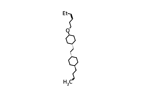 C=CCC[C@H]1CC[C@H](CC[C@H]2CC[C@H](OCC/C=C\CC)CC2)CC1